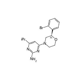 CC(C)c1cc(N2CCO[C@H](c3ccccc3Br)C2)nc(N)n1